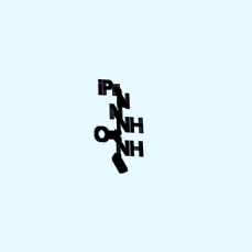 C=CNC(=O)NN=NC(C)C